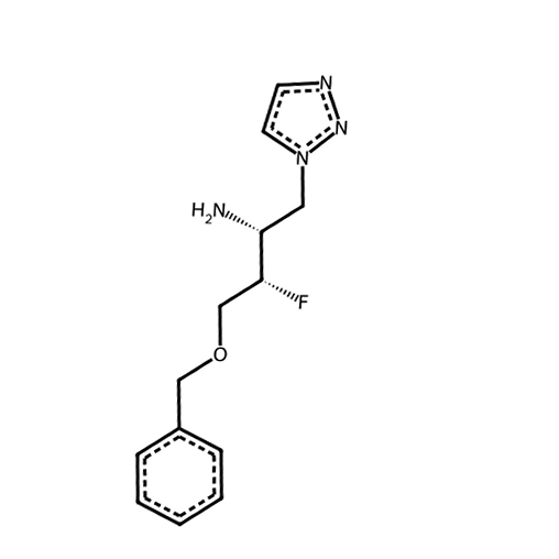 N[C@H](Cn1ccnn1)[C@H](F)COCc1ccccc1